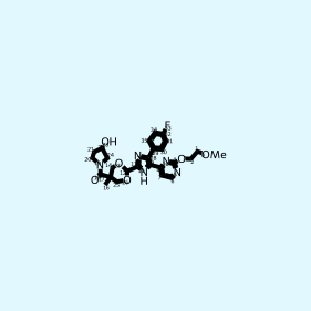 COCCOc1nccc(-c2[nH]c(C3OCC(C)(C(=O)N4CCC(O)C4)CO3)nc2-c2ccc(F)cc2)n1